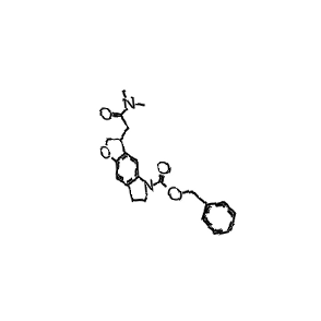 CN(C)C(=O)CC1COc2cc3c(cc21)N(C(=O)OCc1ccccc1)CC3